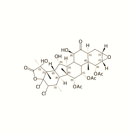 CC(=O)O[C@H]1C2C([C@@H]3[C@@H](O)[C@@H]4[C@H]([C@H](C)C(Cl)C5(Cl)OC(=O)[C@@](C)(O)[C@]45C)[C@@]3(C)[C@H]1OC(C)=O)[C@@H](O)C(=O)[C@H]1C[C@@H]3O[C@@H]3[C@H](OC(C)=O)[C@]21C